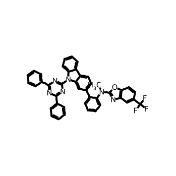 CN(c1nc2cc(C(F)(F)F)ccc2o1)c1ccccc1-c1ccc2c3ccccc3n(-c3nc(-c4ccccc4)nc(-c4ccccc4)n3)c2c1